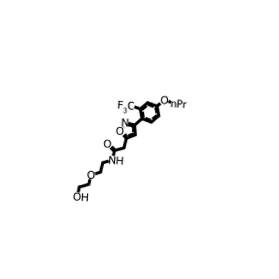 CCCOc1ccc(-c2cc(CC(=O)NCCOCCO)on2)c(C(F)(F)F)c1